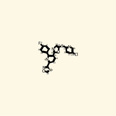 Fc1ccc(-c2nc(-c3ncon3)ccc2-c2ncc(Sc3ccc(Cl)cn3)o2)cc1